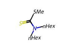 CCCCCCN(CCCCCC)C(=S)SC